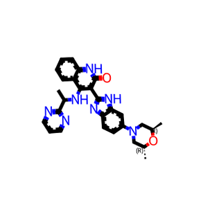 CC(Nc1c(-c2nc3ccc(N4C[C@@H](C)O[C@H](C)C4)cc3[nH]2)c(=O)[nH]c2ccccc12)c1ncccn1